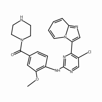 COc1cc(C(=O)N2CCNCC2)ccc1Nc1ncc(Cl)c(-c2cnc3ccccn23)n1